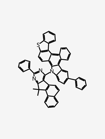 CC1(C)c2nc(-c3ccccc3)nc(-n3c4ccc(-c5ccccc5)cc4c4c5ccccc5c5c(ccc6sc7ccccc7c65)c43)c2-c2ccc3ccccc3c21